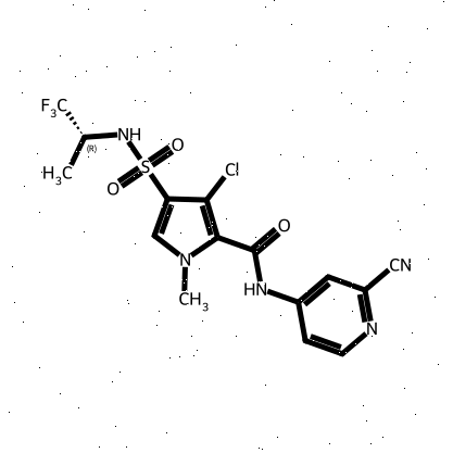 C[C@@H](NS(=O)(=O)c1cn(C)c(C(=O)Nc2ccnc(C#N)c2)c1Cl)C(F)(F)F